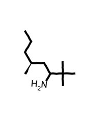 CCC[C@H](C)CC(N)C(C)(C)C